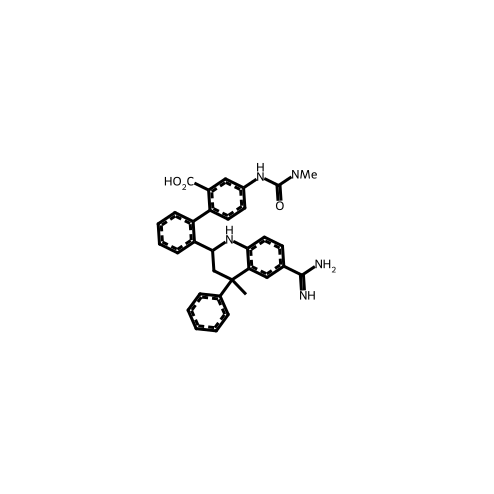 CNC(=O)Nc1ccc(-c2ccccc2C2CC(C)(c3ccccc3)c3cc(C(=N)N)ccc3N2)c(C(=O)O)c1